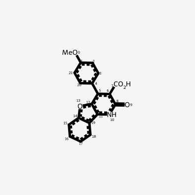 COc1ccc(-c2c(C(=O)O)c(=O)[nH]c3c2oc2ccccc23)cc1